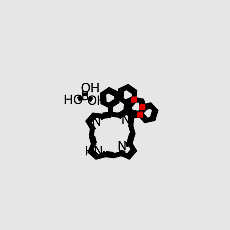 C1=Cc2cc3c(-c4ccccc4)c(-c4ccccc4)c(c(-c4ccccc4)c4nc(cc5ccc(cc1n2)[nH]5)C=C4)n3-c1ccccc1.OB(O)O